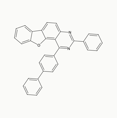 c1ccc(-c2ccc(-c3nc(-c4ccccc4)nc4ccc5c6ccccc6oc5c34)cc2)cc1